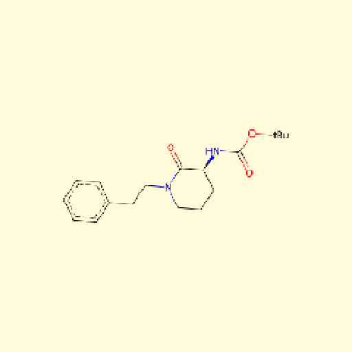 CC(C)(C)OC(=O)N[C@H]1CCCN(CCc2ccccc2)C1=O